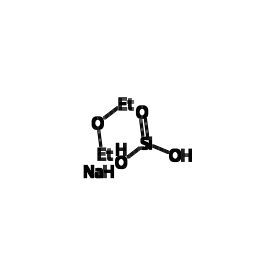 CCOCC.O=[Si](O)O.[NaH]